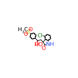 CS(=O)(=O)c1ccc(C(=O)CC2(O)C(=O)Nc3cccc(Cl)c32)cc1